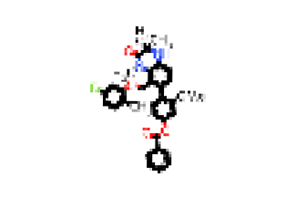 COc1cc(OC(=O)c2ccccc2)ccc1-c1ccc2c(c1COc1cc(F)ccc1C)N(C)C(=O)C(C)(C)N2